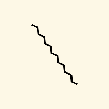 [CH2]/C=C/CCCCCCCCCC[CH2]